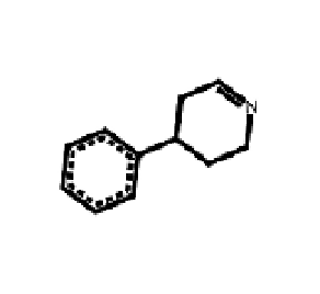 C1=NCCC(c2ccccc2)C1